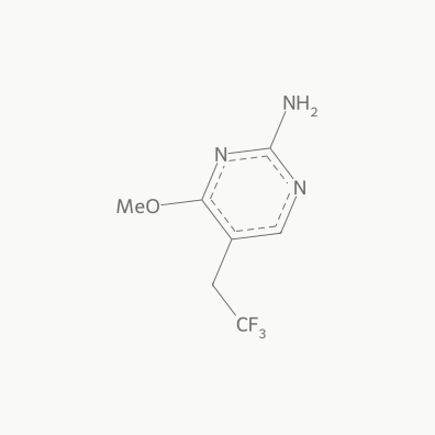 COc1nc(N)ncc1CC(F)(F)F